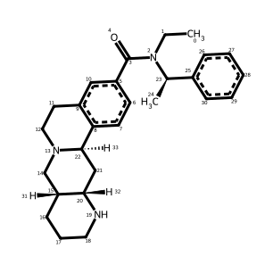 CCN(C(=O)c1ccc2c(c1)CCN1C[C@H]3CCCN[C@H]3C[C@H]21)[C@H](C)c1ccccc1